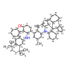 Cc1cc(-c2ccc3oc4ccccc4c3c2Nc2ccc3c(c2)C(C)(C)CCC3(C)C)c2c(c1)N1c3ccccc3C3(c4ccccc4-c4ccccc43)c3cccc(c31)B2